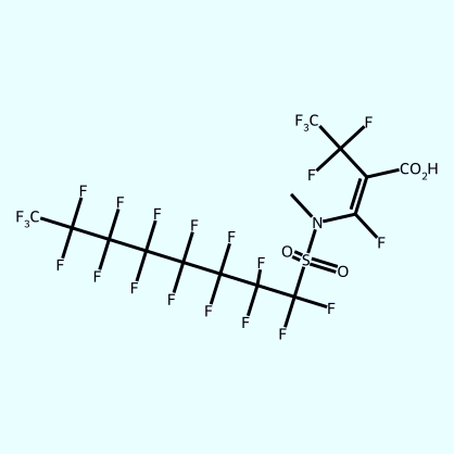 CN(C(F)=C(C(=O)O)C(F)(F)C(F)(F)F)S(=O)(=O)C(F)(F)C(F)(F)C(F)(F)C(F)(F)C(F)(F)C(F)(F)C(F)(F)C(F)(F)F